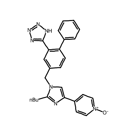 CCCCc1nc(-c2cc[n+]([O-])cc2)cn1Cc1ccc(-c2ccccc2)c(-c2nnn[nH]2)c1